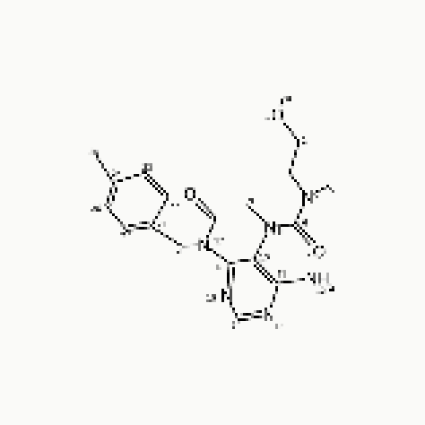 COCCN(C)C(=O)N(C)c1c(N)ncnc1N(C=O)Cc1ccc(C)cc1